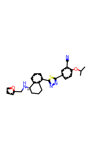 CC(C)Oc1ccc(-c2nnc(-c3cccc4c3CCC[C@H]4NCc3ccco3)s2)cc1C#N